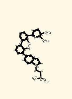 COc1nc(-c2cccc(-c3cccc(-c4ccc5c(ccn5CCN(C)C)c4)c3Cl)c2Cl)ccc1C=O